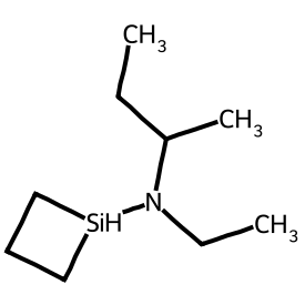 CCC(C)N(CC)[SiH]1CCC1